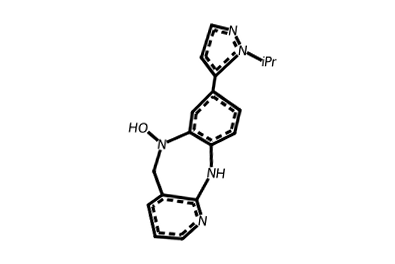 CC(C)n1nccc1-c1ccc2c(c1)N(O)Cc1cccnc1N2